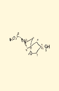 O=C(O)N1CC2(C[C@H](O)CO2)C1